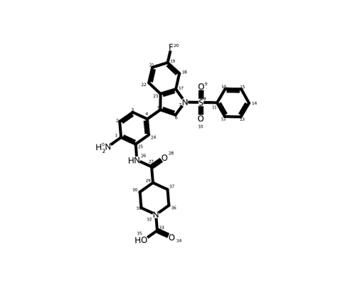 Nc1ccc(-c2cn(S(=O)(=O)c3ccccc3)c3cc(F)ccc23)cc1NC(=O)C1CCN(C(=O)O)CC1